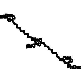 CCCCCCCCCCOC(CCCCCCCCCCCCC(OC)OC(CCCCCCCCCCCCC(OCCCCCCCCCC)OCCCCCCCCCC)OC)OCCCCCCCCCC